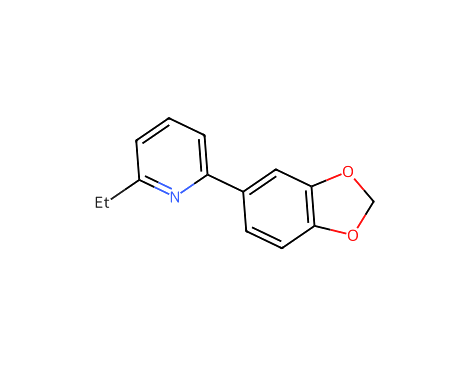 CCc1cccc(-c2ccc3c(c2)OCO3)n1